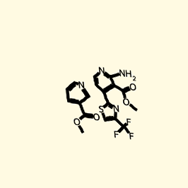 COC(=O)c1c(-c2nc(C(F)(F)F)cs2)ccnc1N.COC(=O)c1cccnc1